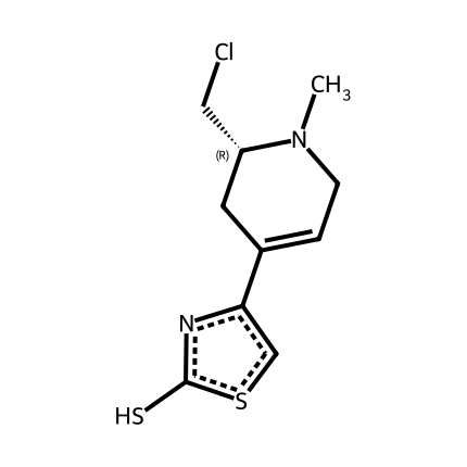 CN1CC=C(c2csc(S)n2)C[C@@H]1CCl